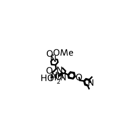 COC(=O)N1CCC(C(C(=O)NO)N2CCC(N)(c3ccc(OCc4cc(C)nc(C)c4)cc3)C2=O)CC1